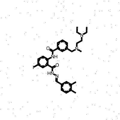 CCN(CC)CCN(C)Cc1cccc(C(=O)Nc2ccc(I)cc2C(=O)NN=Cc2ccc(C)c(C)c2)c1